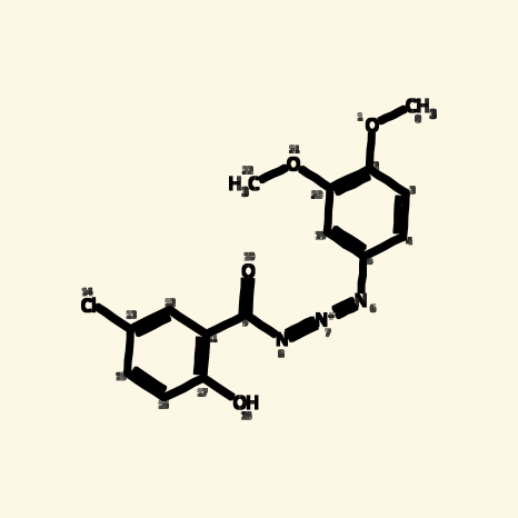 COc1ccc(N=[N+]=NC(=O)c2cc(Cl)ccc2O)cc1OC